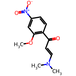 COc1cc([N+](=O)[O-])ccc1C(=O)/C=C/N(C)C